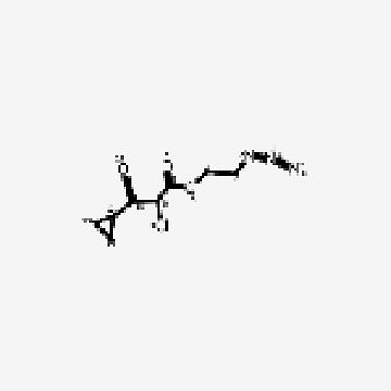 [N-]=[N+]=NCCOC(=O)C(Cl)C(=O)C1CC1